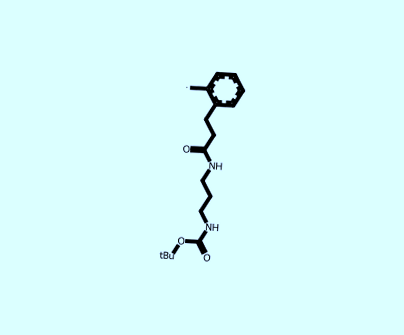 [CH2]c1ccccc1CCC(=O)NCCCNC(=O)OC(C)(C)C